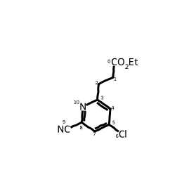 CCOC(=O)CCc1cc(Cl)cc(C#N)n1